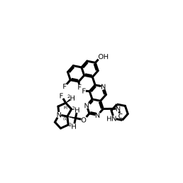 [2H]C([2H])(Oc1nc(N2CC3CCC2CN3)c2cnc(-c3cc(O)cc4ccc(F)c(F)c34)c(F)c2n1)[C@@]12CCCN1C[C@]([2H])(F)C2